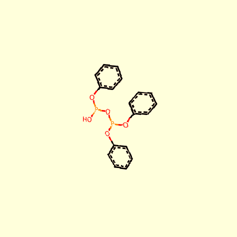 OP(Oc1ccccc1)OP(Oc1ccccc1)Oc1ccccc1